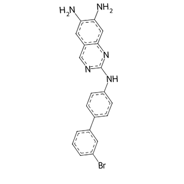 Nc1cc2cnc(Nc3ccc(-c4cccc(Br)c4)cc3)nc2cc1N